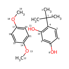 CC(C)(C)c1ccc(O)cc1O.COc1ccc(OC)cc1